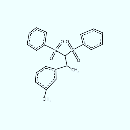 Cc1cccc(C(C)[C](S(=O)(=O)c2ccccc2)S(=O)(=O)c2ccccc2)c1